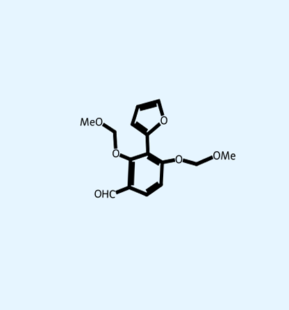 COCOc1ccc(C=O)c(OCOC)c1-c1ccco1